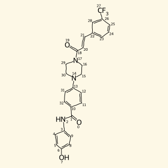 O=C(Nc1ccc(O)cc1)c1ccc(N2CCN(C(=O)C=Cc3cccc(C(F)(F)F)c3)CC2)cc1